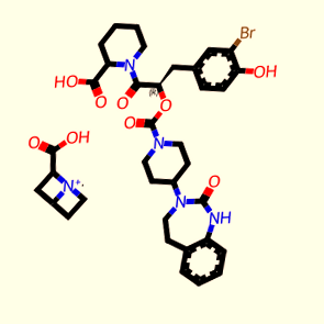 O=C(O)C1CC2CC[N+]21.O=C(O)C1CCCCN1C(=O)[C@@H](Cc1ccc(O)c(Br)c1)OC(=O)N1CCC(N2CCc3ccccc3NC2=O)CC1